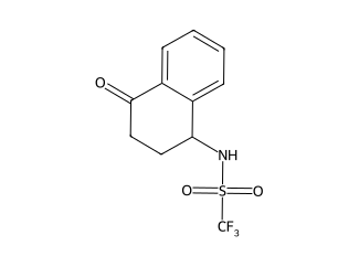 O=C1CCC(NS(=O)(=O)C(F)(F)F)c2ccccc21